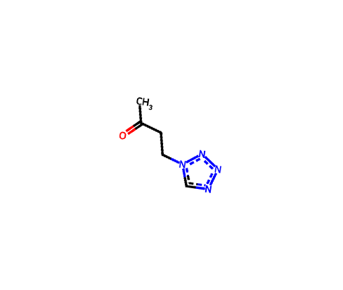 CC(=O)CCn1cnnn1